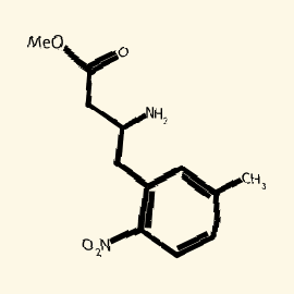 COC(=O)CC(N)Cc1cc(C)ccc1[N+](=O)[O-]